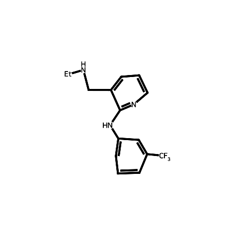 CCNCc1cccnc1Nc1cccc(C(F)(F)F)c1